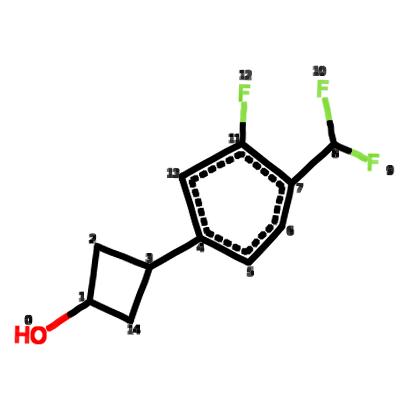 OC1CC(c2ccc(C(F)F)c(F)c2)C1